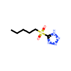 CCCCCS(=O)(=O)c1nnn[nH]1